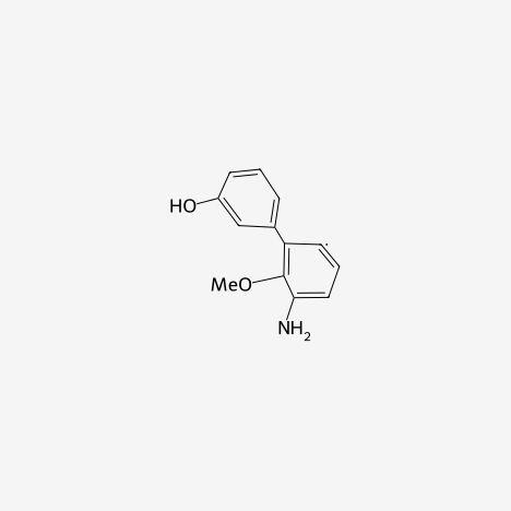 COc1c(-c2cccc(O)c2)[c]ccc1N